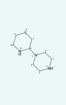 [CH]1CNCCN1C1CSCCN1